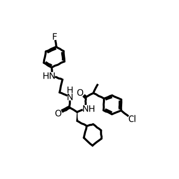 CC(C(=O)N[C@@H](CC1CCCCC1)C(=O)NCCNc1ccc(F)cc1)c1ccc(Cl)cc1